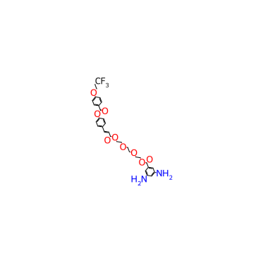 Nc1cc(N)cc(C(=O)OCCOCCOCCOC(=O)C=Cc2ccc(OC(=O)c3ccc(OCCC(F)(F)F)cc3)cc2)c1